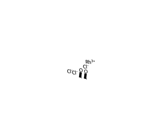 [C]=O.[C]=O.[Cl-].[Cl-].[Cl-].[Rh+3]